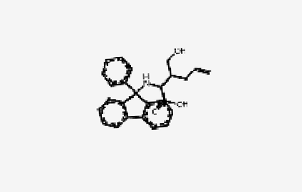 C=CCC(CO)C(NC1(c2ccccc2)c2ccccc2-c2ccccc21)C(=O)O